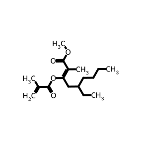 C=C(C)C(=O)OC(CC(CC)CCCC)=C(C)C(=O)OC